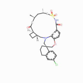 C[C@@H]1CC(=O)[C@@H]2CC[C@H]2CN2C[C@@]3(CCCc4cc(Cl)ccc43)COc3ccc(cc32)C(=O)NS(=O)(=O)C[C@@H](C)C1